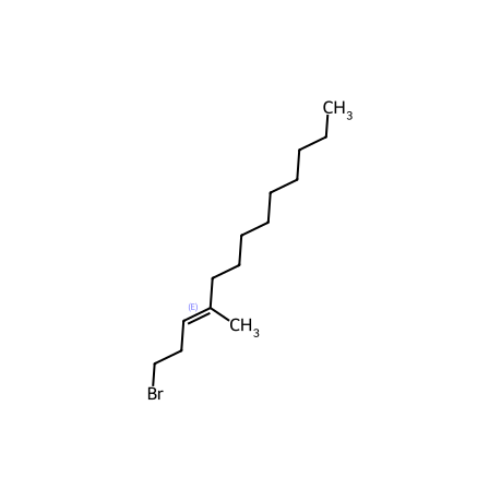 CCCCCCCCC/C(C)=C/CCBr